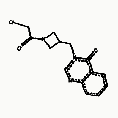 O=C(CCl)N1CC(Cn2cnc3ccccc3c2=O)C1